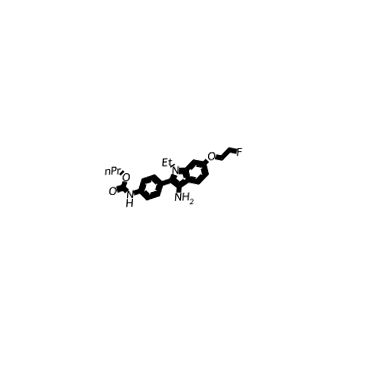 CCCOC(=O)Nc1ccc(-c2c(N)c3ccc(OCCF)cc3n2CC)cc1